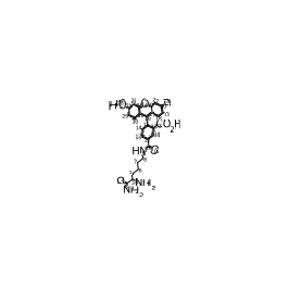 NC(=O)C(N)CCCCNC(=O)c1ccc(-c2c3ccc(=O)cc-3oc3cc(O)ccc23)c(C(=O)O)c1